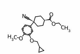 CCOC(=O)[C@H]1CC[C@](C#N)(c2ccc(OC)c(OCC3CC3)c2)CC1